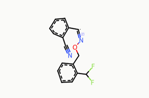 N#Cc1ccccc1/[C]=N\OCc1ccccc1C(F)F